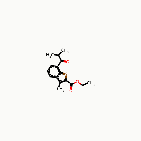 CCOC(=O)c1sc2c(C(=O)C(C)C)cccc2c1C